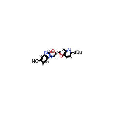 Cc1nc(C(C)(C)C)ccc1OC[C@@H]1Cn2c(nc3cc(C#N)ccc32)O1